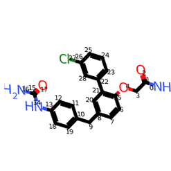 NC(=O)COc1ccc(Cc2ccc(NC(N)=O)cc2)cc1-c1cccc(Cl)c1